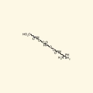 BC(=P)[C@@H](N)CCCCNC(=O)COCCOCCNC(=O)COCCOCCNC(=O)CCCC(=O)O